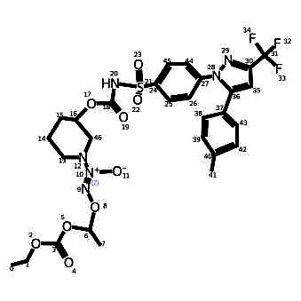 CCOC(=O)OC(C)O/N=[N+](\[O-])N1CCCC(OC(=O)NS(=O)(=O)c2ccc(-n3nc(C(F)(F)F)cc3-c3ccc(C)cc3)cc2)C1